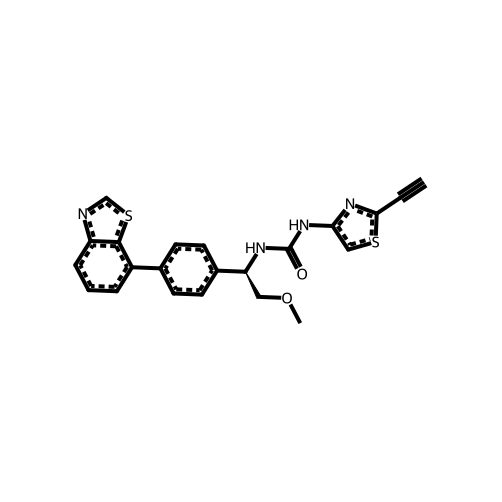 C#Cc1nc(NC(=O)N[C@@H](COC)c2ccc(-c3cccc4ncsc34)cc2)cs1